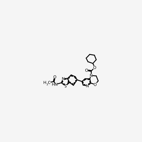 CC(=O)Nc1nc2ccc(-c3cnc4c(c3)N(C(=O)OC3CCCCC3)CCO4)cc2s1